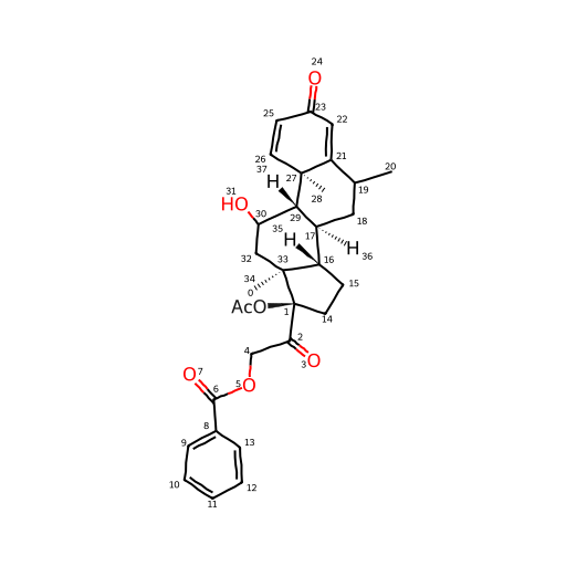 CC(=O)O[C@]1(C(=O)COC(=O)c2ccccc2)CC[C@H]2[C@@H]3CC(C)C4=CC(=O)C=C[C@]4(C)[C@H]3C(O)C[C@@]21C